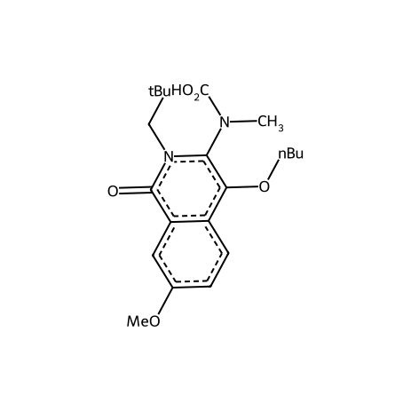 CCCCOc1c(N(C)C(=O)O)n(CC(C)(C)C)c(=O)c2cc(OC)ccc12